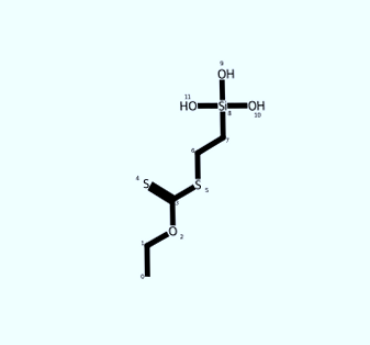 CCOC(=S)SCC[Si](O)(O)O